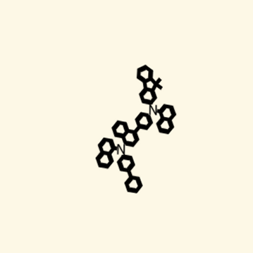 CC1(C)c2ccccc2-c2ccc(N(c3ccc(-c4ccc(N(c5ccc(-c6ccccc6)cc5)c5cccc6ccccc56)c5ccccc45)cc3)c3cccc4ccccc34)cc21